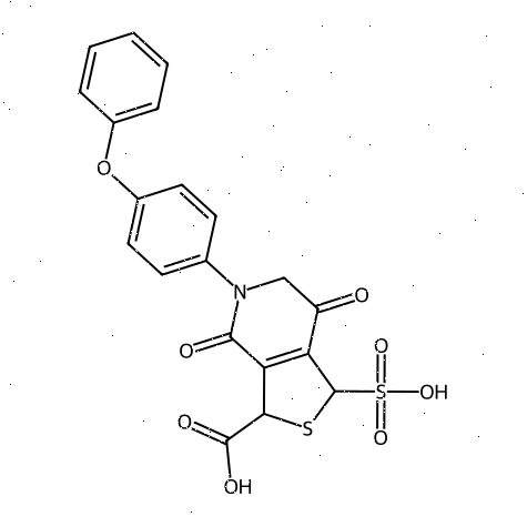 O=C1CN(c2ccc(Oc3ccccc3)cc2)C(=O)C2=C1C(S(=O)(=O)O)SC2C(=O)O